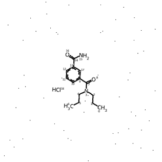 CCCN(CCC)C(=O)c1cccc(C(N)=O)c1.Cl